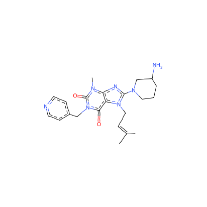 CC(C)=CCn1c(N2CCCC(N)C2)nc2c1c(=O)n(Cc1ccncc1)c(=O)n2C